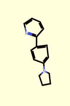 [c]1cccc(-c2ccc(N3CCCC3)cc2)n1